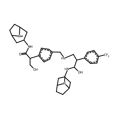 CN1C2CCC1CC(NC(=O)C(CO)c1ccc(CNCC(c3ccc(C(F)(F)F)cc3)C(O)NC3CC4CCC(C3)N4C)cc1)C2